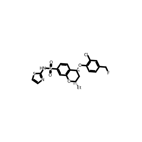 CC[C@H]1C[C@@H](Oc2ccc(CF)cc2Cl)c2ccc(S(=O)(=O)Nc3nccs3)cc2O1